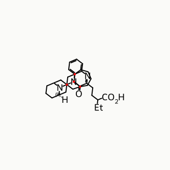 CCC(CCc1nc2ccccc2n(C2CC3CCC[C@H](C2)N3C2CC3CCCCC(C3)C2)c1=O)C(=O)O